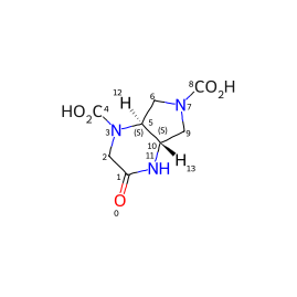 O=C1CN(C(=O)O)[C@H]2CN(C(=O)O)C[C@@H]2N1